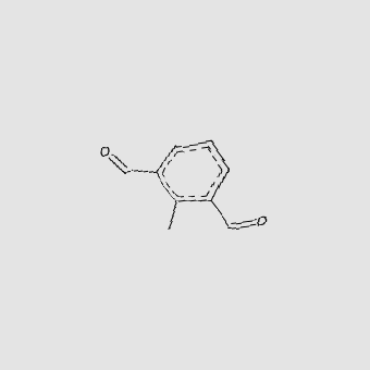 Cc1c(C=O)cccc1C=O